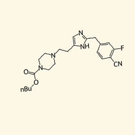 CCCCOC(=O)N1CCN(CCc2cnc(Cc3ccc(C#N)c(F)c3)[nH]2)CC1